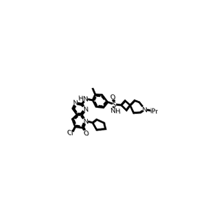 Cc1cc(S(=N)(=O)C2CC3(CCN(C(C)C)CC3)C2)ccc1Nc1ncc2cc(Cl)c(=O)n(C3CCCC3)c2n1